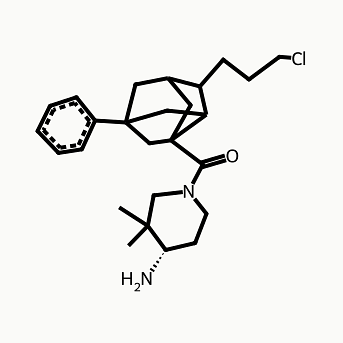 CC1(C)CN(C(=O)C23CC4CC(c5ccccc5)(CC2C4CCCCl)C3)CC[C@@H]1N